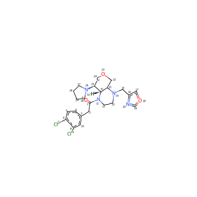 O=C(Cc1ccc(Cl)c(Cl)c1)N1CCN(Cc2cocn2)C2COC[C@H](N3CCCC3)[C@H]21